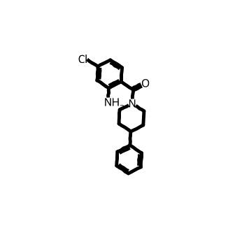 Nc1cc(Cl)ccc1C(=O)N1CCC(c2ccccc2)CC1